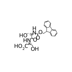 O=C(N[C@@H](CO)C(=O)N[C@@H](CO)C(=O)O)OCC1c2ccccc2-c2ccccc21